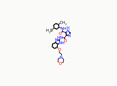 Bc1ccc(C)c(NC(=O)c2[nH]cnc2C(=O)Nc2nc3cccc(OCCN4CCOCC4)c3[nH]2)c1